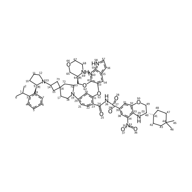 CC(C)c1ccccc1[C@H]1CCCN1C1CC2(CCN(c3ccc(C(=O)NS(=O)(=O)c4cc5c(c([N+](=O)[O-])c4)N[C@@H](C4CCC(C)(C)CC4)CO5)c(Oc4cc5cc[nH]c5nc4OC[C@H]4COCCN4)c3)CC2)C1